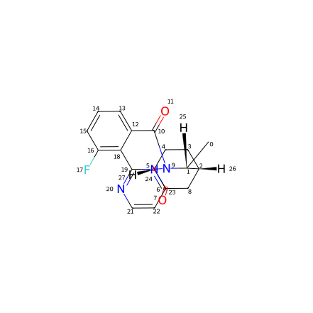 C[C@@H]1[C@@H]2CC[C@@H](C(=O)C2)N1C(=O)c1cccc(F)c1-c1ncccn1